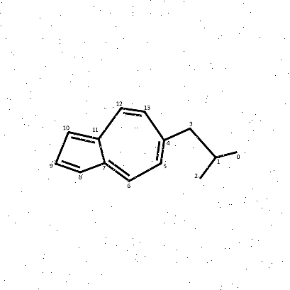 C[C](C)Cc1ccc2cccc-2cc1